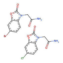 NC(=O)Cn1c(=O)oc2cc(Br)ccc21.NC(=O)Cn1c(=O)oc2cc(Cl)ccc21